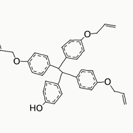 C=CCOc1ccc(C(c2ccc(O)cc2)C(c2ccc(OCC=C)cc2)c2ccc(OCC=C)cc2)cc1